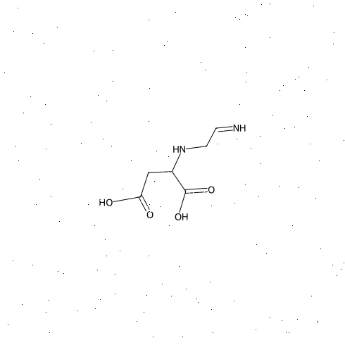 N=CCNC(CC(=O)O)C(=O)O